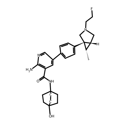 C[C@H]1[C@H]2CN(CCF)C[C@]21c1ccc(-c2cnc(N)c(C(=O)NC34CCC(O)(CC3)CC4)c2)cc1